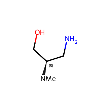 CN[C@H](CN)CO